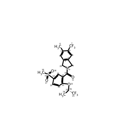 Cc1cc2c(cc1C(F)(F)F)CN(C(=O)c1cc(S(C)(=O)=O)ccc1O[C@@H](C)C(F)(F)F)C2